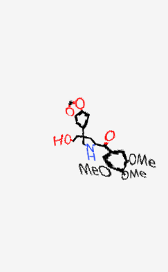 COc1cc(C(=O)C2CC(CCO)(c3ccc4c(c3)OCO4)CN2)cc(OC)c1OC